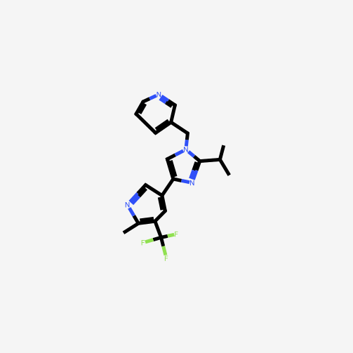 Cc1ncc(-c2cn(Cc3cccnc3)c(C(C)C)n2)cc1C(F)(F)F